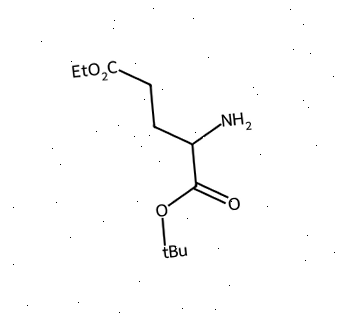 CCOC(=O)CCC(N)C(=O)OC(C)(C)C